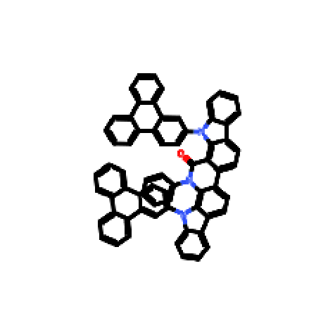 O=c1c2c(ccc3c4ccccc4n(-c4ccc5c6ccccc6c6ccccc6c5c4)c32)c2ccc3c4ccccc4n(-c4ccc5c6ccccc6c6ccccc6c5c4)c3c2n1-c1ccccc1